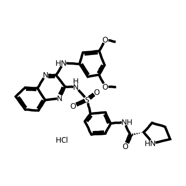 COc1cc(Nc2nc3ccccc3nc2NS(=O)(=O)c2cccc(NC(=O)[C@@H]3CCCN3)c2)cc(OC)c1.Cl